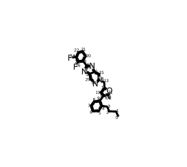 CCCCc1ccccc1-c1cc(Cn2cc3nc(-c4cccc(F)c4F)nc-3cn2)on1